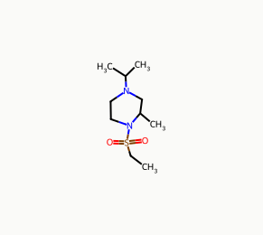 CCS(=O)(=O)N1CCN(C(C)C)CC1C